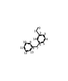 CCc1[c]ccc(Cc2ccccc2)c1